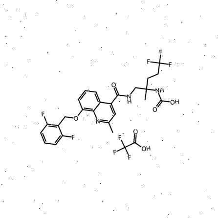 Cc1cc(C(=O)NCC(C)(CCC(F)(F)F)NC(=O)O)c2cccc(OCc3c(F)cccc3F)c2n1.O=C(O)C(F)(F)F